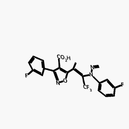 C=NN(/C(=C(\C)c1onc(-c2cccc(F)c2)c1C(=O)O)C(F)(F)F)c1cccc(F)c1